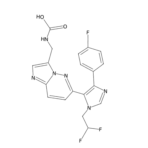 O=C(O)NCc1cnc2ccc(-c3c(-c4ccc(F)cc4)ncn3CC(F)F)nn12